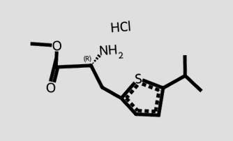 COC(=O)[C@H](N)Cc1ccc(C(C)C)s1.Cl